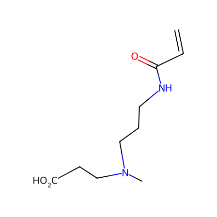 C=CC(=O)NCCCN(C)CCC(=O)O